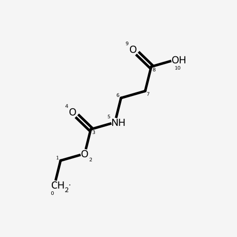 [CH2]COC(=O)NCCC(=O)O